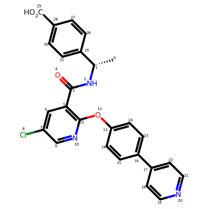 C[C@H](NC(=O)c1cc(Cl)cnc1Oc1ccc(-c2ccncc2)cc1)c1ccc(C(=O)O)cc1